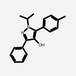 Cc1ccc(-c2c(O)c(-c3ccccc3)nn2C(C)C)cc1